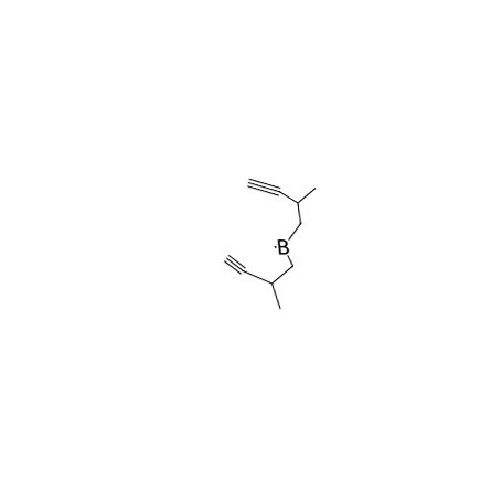 C#CC(C)C[B]CC(C)C#C